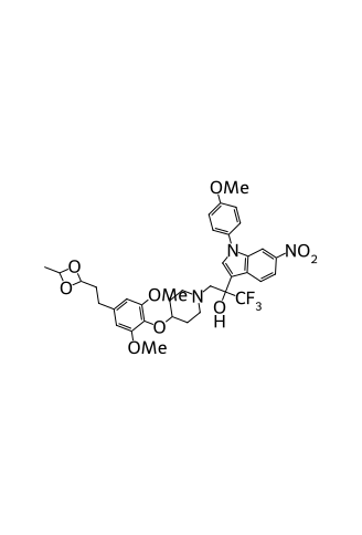 COc1ccc(-n2cc(C(O)(CN3CCC(Oc4c(OC)cc(CCC5OC(C)O5)cc4OC)CC3)C(F)(F)F)c3ccc([N+](=O)[O-])cc32)cc1